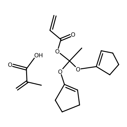 C=C(C)C(=O)O.C=CC(=O)OC(C)(OC1=CCCC1)OC1=CCCC1